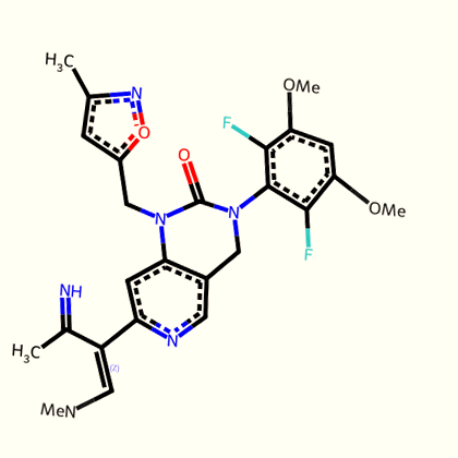 CN/C=C(\C(C)=N)c1cc2c(cn1)CN(c1c(F)c(OC)cc(OC)c1F)C(=O)N2Cc1cc(C)no1